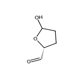 O=C[C@H]1CCC(O)O1